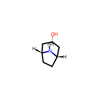 CCCN1[C@@H]2CC[C@H]1C[C@@H](O)C2